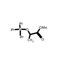 COC(=O)C(C)O[Si](C(C)C)(C(C)C)C(C)C